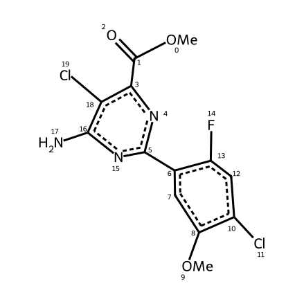 COC(=O)c1nc(-c2cc(OC)c(Cl)cc2F)nc(N)c1Cl